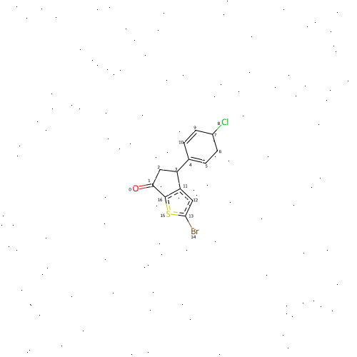 O=C1CC(C2=CCC(Cl)C=C2)c2cc(Br)sc21